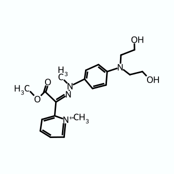 COC(=O)/C(=N\N(C)c1ccc(N(CCO)CCO)cc1)c1cccc[n+]1C